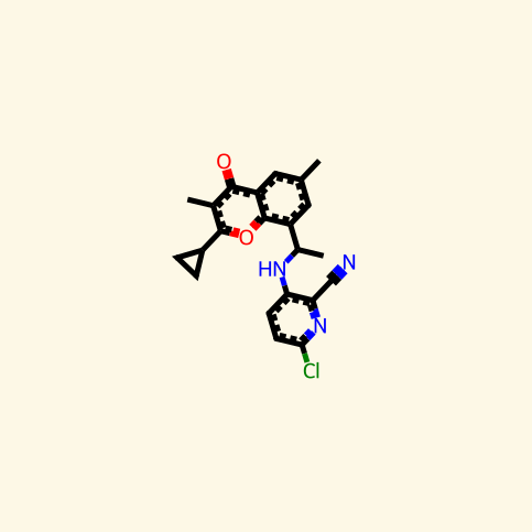 Cc1cc(C(C)Nc2ccc(Cl)nc2C#N)c2oc(C3CC3)c(C)c(=O)c2c1